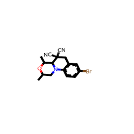 CC1CN2c3ccc(Br)cc3CC(C#N)(C#N)C2C(C)O1